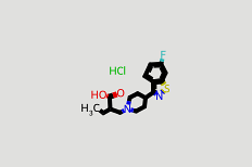 CCC(CN1CCC(c2nsc3cc(F)ccc23)CC1)C(=O)O.Cl